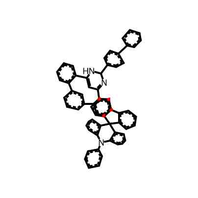 C1=C(c2ccccc2-c2cccc(-c3ccc4c(c3)C3(c5ccccc5-4)c4ccccc4N(c4ccccc4)c4ccccc43)c2)NC(c2ccc(-c3ccccc3)cc2)N=C1c1ccccc1